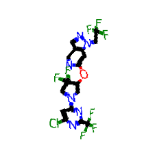 FC(F)(F)Cn1ncc2cnc(OC3CN(c4cc(Cl)nc(C(F)(F)F)n4)CC3(F)F)cc21